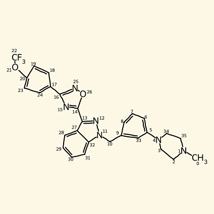 CN1CCN(c2cccc(Cn3nc(-c4nc(-c5ccc(OC(F)(F)F)cc5)no4)c4ccccc43)c2)CC1